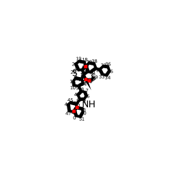 c1ccc(Nc2ccc(-c3ccc4c(c3)C3(c5ccccc5S4)c4ccccc4Sc4c(-c5ccccc5)cccc43)cc2-c2ccccc2)cc1